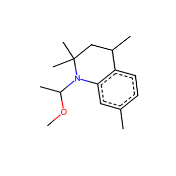 COC(C)N1c2cc(C)ccc2C(C)CC1(C)C